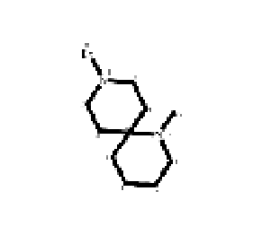 CCN1CCC2(CCCCN2C)CC1